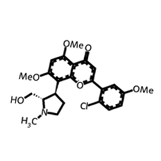 COc1ccc(Cl)c(-c2cc(=O)c3c(OC)cc(OC)c([C@H]4CCN(C)[C@@H]4CO)c3o2)c1